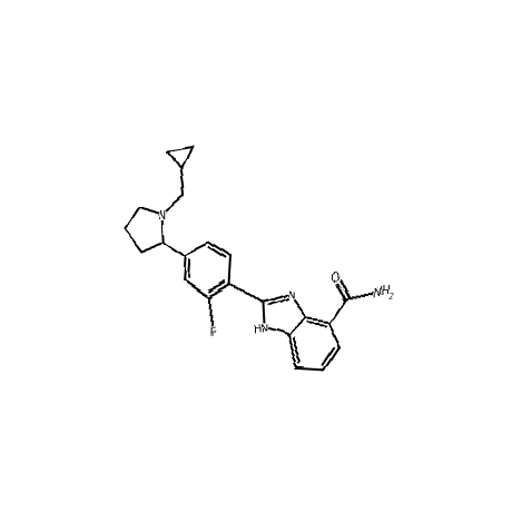 NC(=O)c1cccc2[nH]c(-c3ccc(C4CCCN4CC4CC4)cc3F)nc12